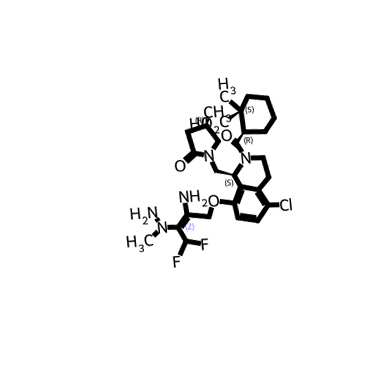 C[C@@H]1CC(=O)N(C[C@@H]2c3c(OC/C(N)=C(\C(F)F)N(C)N)ccc(Cl)c3CCN2C(=O)[C@@H]2CCCC[C@]2(C)C(=O)O)C1